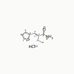 CC/C(=C\c1cccs1)C(N)=O.Cl